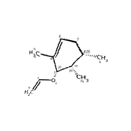 C=CO[C@@H]1C(C)=CC[C@H](C)[C@@H]1C